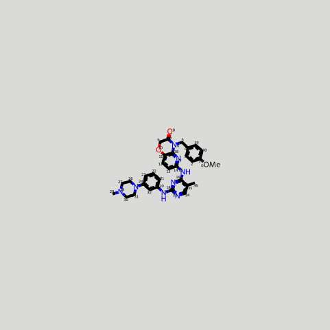 COc1ccc(CN2C(=O)COc3ccc(Nc4nc(Nc5cccc(N6CCN(C)CC6)c5)ncc4C)nc32)cc1